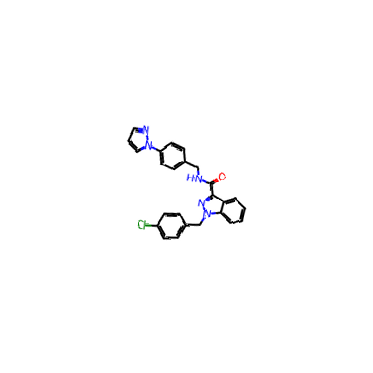 O=C(NCc1ccc(-n2cccn2)cc1)c1nn(Cc2ccc(Cl)cc2)c2ccccc12